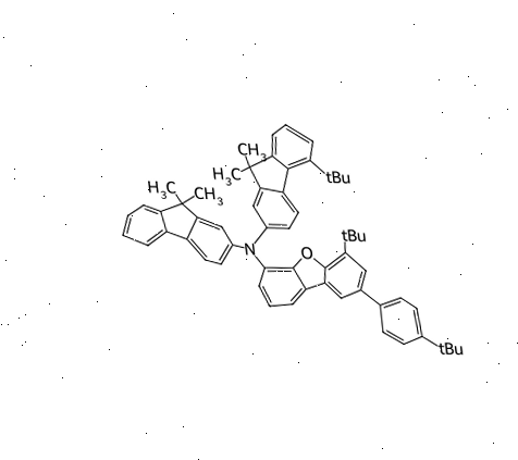 CC(C)(C)c1ccc(-c2cc(C(C)(C)C)c3oc4c(N(c5ccc6c(c5)C(C)(C)c5ccccc5-6)c5ccc6c(c5)C(C)(C)c5cccc(C(C)(C)C)c5-6)cccc4c3c2)cc1